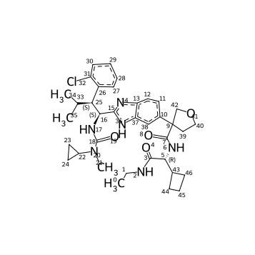 CCNC(=O)[C@H](NC(=O)C1(c2ccc3nc([C@@H](NC(=O)N(C)C4CC4)[C@H](c4ccccc4Cl)C(C)C)[nH]c3c2)CCOC1)C1CCC1